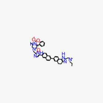 CCCN(C)Cc1nc2c([nH]1)-c1ccc(-c3ccc4cc(-c5cnc(CN(CCC)C(=O)[C@H](NC(=O)OC)c6ccccc6)[nH]5)ccc4c3)cc1CC2